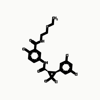 CCOCCNC(=O)c1cc(NC(=O)[C@@H]2[C@@H](c3cc(Cl)cc(Cl)c3)C2(Cl)Cl)ccc1Cl